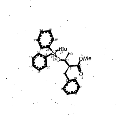 COC(=O)[C@@H](Cc1ccccc1)[C@H](C)O[Si](c1ccccc1)(c1ccccc1)C(C)(C)C